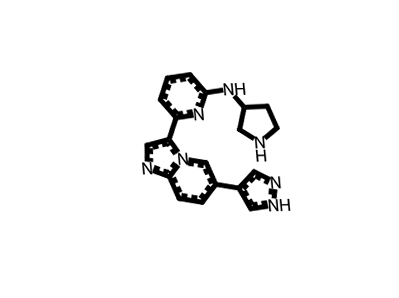 c1cc(NC2CCNC2)nc(-c2cnc3ccc(-c4cn[nH]c4)cn23)c1